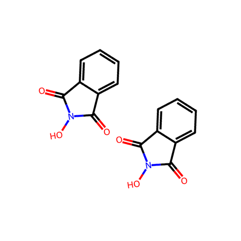 O=C1c2ccccc2C(=O)N1O.O=C1c2ccccc2C(=O)N1O